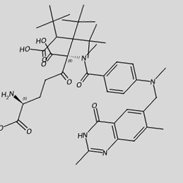 Cc1nc2cc(C)c(CN(C)c3ccc(C(=O)N(C)[C@@](C(=O)O)(C(=O)CC[C@H](N)C(=O)O)C(C(C(=O)O)C(C)(C)C)(C(C)(C)C)C(C)(C)C)cc3)cc2c(=O)[nH]1